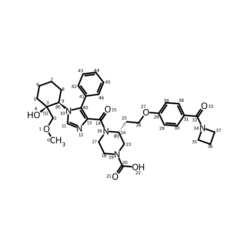 COC[C@]1(O)CCCC[C@H]1n1cnc(C(=O)N2CCN(C(=O)O)C[C@H]2CCOc2ccc(C(=O)N3CCC3)cc2)c1-c1ccccc1